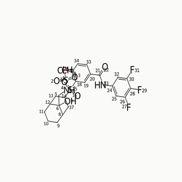 CS(=O)(=O)NCC1(O)C2CCCC1CC(S(=O)(=O)c1cc(C(=O)Nc3cc(F)c(F)c(F)c3)ccc1Cl)C2